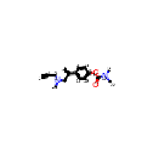 C#CCN(C)CC(=C)c1ccc(OC(=O)N(C)C)cc1